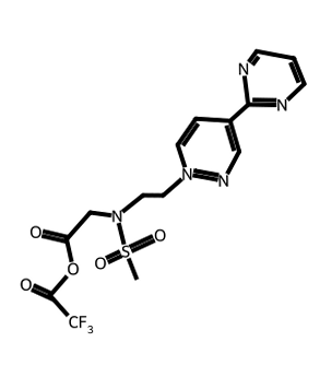 CS(=O)(=O)N(CC[n+]1ccc(-c2ncccn2)cn1)CC(=O)OC(=O)C(F)(F)F